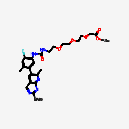 CNc1ncc2cc(-c3cc(NC(=O)NCCOCCOCCOCC(=O)OC(C)(C)C)c(F)cc3C)c(C)nc2n1